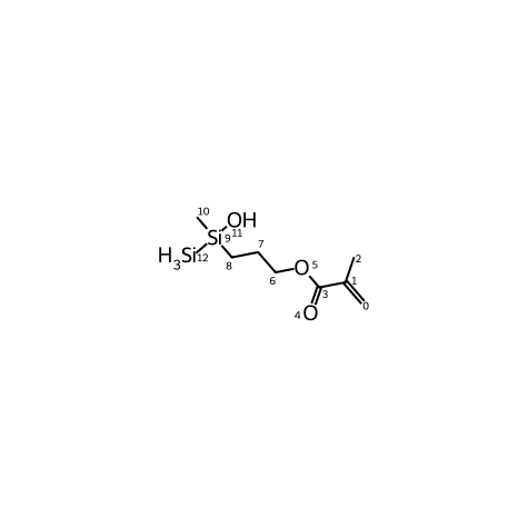 C=C(C)C(=O)OCCC[Si](C)(O)[SiH3]